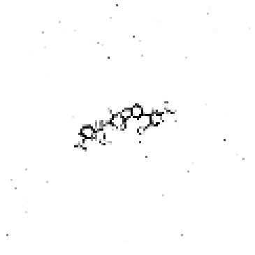 CNc1ncc(Cl)c(-c2ccc3c(c2)C(=O)N([C@H](C)C(=O)N[C@H](CO)c2cccc(N(C)C)n2)C3)n1